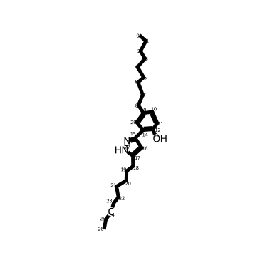 CCCCCCCCCc1ccc(O)c(-c2cc(CCCCCCCCC)[nH]n2)c1